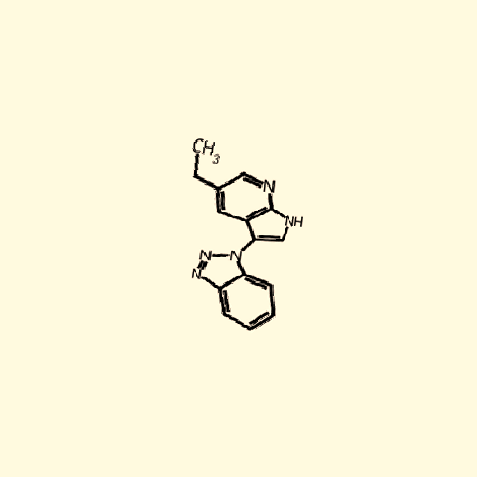 CCc1cnc2[nH]cc(-n3nnc4ccccc43)c2c1